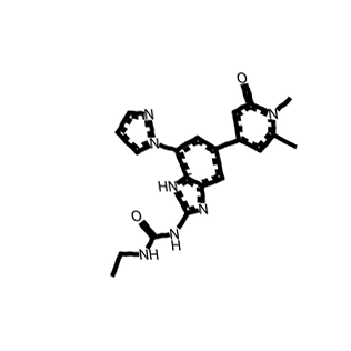 CCNC(=O)Nc1nc2cc(-c3cc(C)n(C)c(=O)c3)cc(-n3cccn3)c2[nH]1